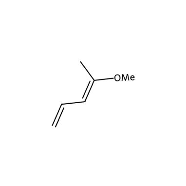 C=CC=C(C)OC